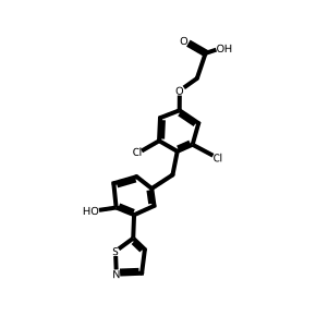 O=C(O)COc1cc(Cl)c(Cc2ccc(O)c(-c3ccns3)c2)c(Cl)c1